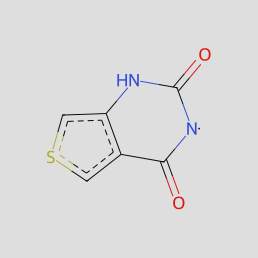 O=C1[N]C(=O)c2cscc2N1